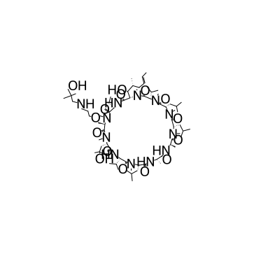 C/C=C/C[C@@H](C)[C@@H](O)[C@H]1C(=O)N[C@@H](CC)C(=O)N(C)[C@H](COCCCNCC(C)(C)CO)C(=O)N(C)[C@@H](CC(C)(C)O)C(=O)N[C@@H](C(C)C)C(=O)N(C)[C@@H](CC(C)C)C(=O)N[C@@H](C)C(=O)N[C@H](C)C(=O)N(C)[C@@H](CC(C)C)C(=O)N(C)[C@@H](CC(C)C)C(=O)N(C)[C@@H](C(C)C)C(=O)N1C